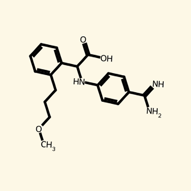 COCCCc1ccccc1C(Nc1ccc(C(=N)N)cc1)C(=O)O